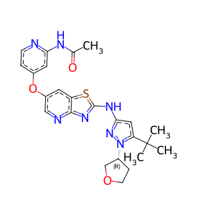 CC(=O)Nc1cc(Oc2cnc3nc(Nc4cc(C(C)(C)C)n([C@@H]5CCOC5)n4)sc3c2)ccn1